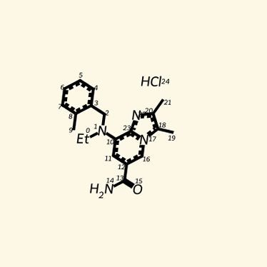 CCN(Cc1ccccc1C)c1cc(C(N)=O)cn2c(C)c(C)nc12.Cl